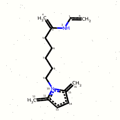 C=CNC(=C)CCCCCn1c(=C)ccc1=C